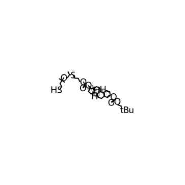 CC(COC(C)(C)CCS)SCCCOC(=O)O[C@@H]1CC[C@@H]2[C@H]3CCc4cc(OC(=O)OCCC(C)(C)C)ccc4[C@@H]3CC[C@]21C